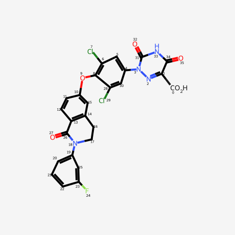 O=C(O)c1nn(-c2cc(Cl)c(Oc3ccc4c(c3)CCN(c3cccc(F)c3)C4=O)c(Cl)c2)c(=O)[nH]c1=O